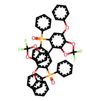 O=P(c1ccccc1)(c1ccccc1)c1cc(-c2c(P(=O)(c3ccccc3)c3ccccc3)cc(Oc3ccccc3)c3c2OC(F)(F)O3)c2c(c1Oc1ccccc1)OC(F)(F)O2